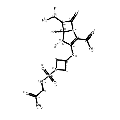 C[C@@H](O)[C@H]1C(=O)N2C(C(=O)O)=C(SC3CN(S(=O)(=O)NCC(N)=O)C3)[C@H](C)[C@H]12